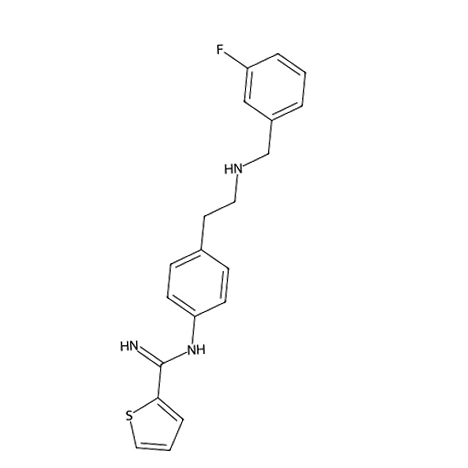 N=C(Nc1ccc(CCNCc2cccc(F)c2)cc1)c1cccs1